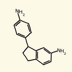 Nc1ccc(C2CCc3ccc(N)cc32)cc1